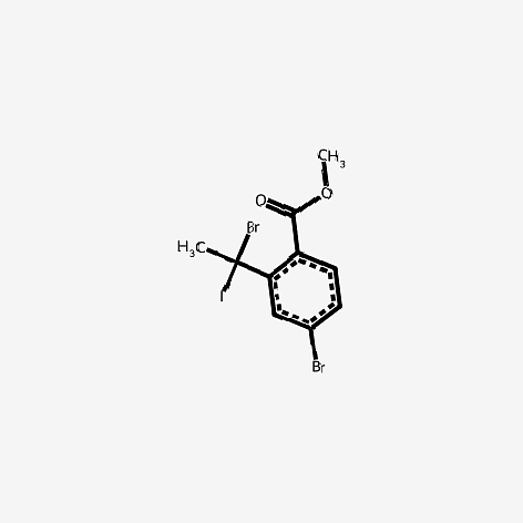 COC(=O)c1ccc(Br)cc1C(C)(Br)I